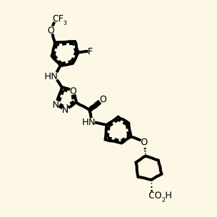 O=C(Nc1ccc(O[C@H]2CC[C@@H](C(=O)O)CC2)cc1)c1nnc(Nc2cc(F)cc(OC(F)(F)F)c2)o1